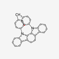 Cc1ccc(-n2c3ccccc3c3ccc4c5ccccc5n(-c5ccccc5)c4c32)cc1